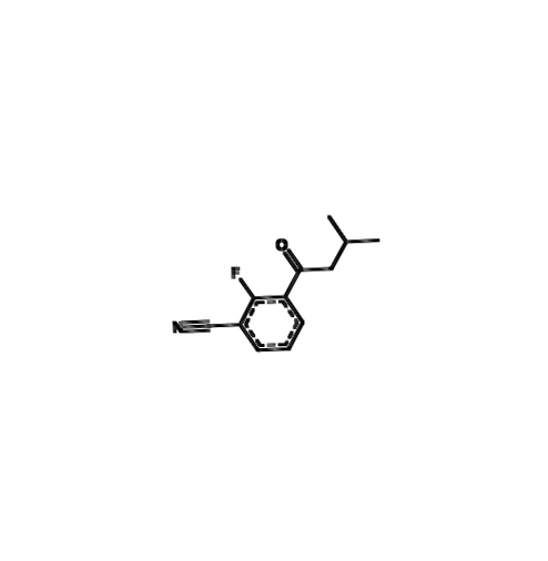 CC(C)CC(=O)c1cccc(C#N)c1F